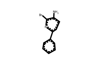 Nc1ccc(-c2ccccc2)nc1Br